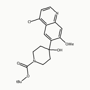 COc1cc2nccc(Cl)c2cc1C1(O)CCN(C(=O)OC(C)(C)C)CC1